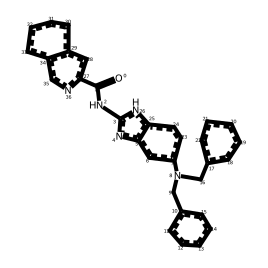 O=C(Nc1nc2cc(N(Cc3ccccc3)Cc3ccccc3)ccc2[nH]1)c1cc2ccccc2cn1